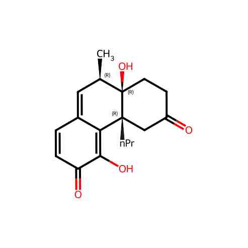 CCC[C@]12CC(=O)CC[C@@]1(O)[C@H](C)C=C1C=CC(=O)C(O)=C12